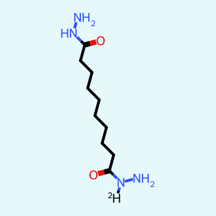 [2H]N(N)C(=O)CCCCCCCCC(=O)NN